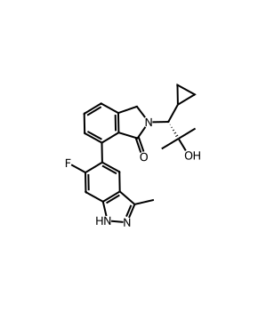 Cc1n[nH]c2cc(F)c(-c3cccc4c3C(=O)N([C@H](C3CC3)C(C)(C)O)C4)cc12